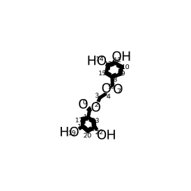 O=C(OCCOC(=O)c1ccc(O)c(O)c1)c1cc(O)cc(O)c1